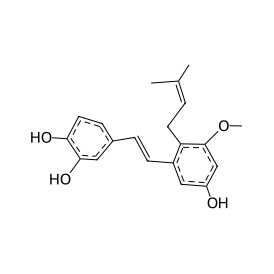 COc1cc(O)cc(C=Cc2ccc(O)c(O)c2)c1CC=C(C)C